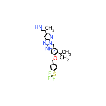 C=C(C=N)c1cnc2c(c1)nc(N)n2Cc1ccc(OCc2ccc(SC(F)(F)F)cc2)c(C(=C)C)c1